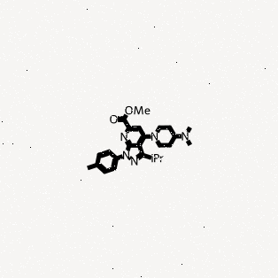 COC(=O)c1cc(N2CCC(N(C)C)CC2)c2c(C(C)C)nn(-c3ccc(C)cc3)c2n1